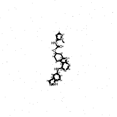 Cn1nccc1NC(=O)OC1CCc2c(sc3ncnc(Nc4ccc5[nH]ncc5c4)c23)C1